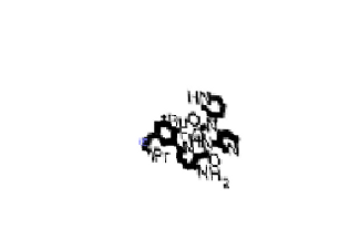 CC(C)/C=C\c1ccc(F)c(-c2ccc(N)c(C(=O)Nc3cnccc3N(C(=O)OC(C)(C)C)[C@H]3CCCNC3)n2)c1